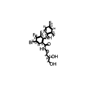 O=C(NOC[C@H](O)CO)c1cc(Br)c(F)c(F)c1Nc1ncc(F)cc1F